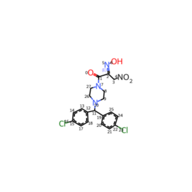 O=C(/C(C[N+](=O)[O-])=N/O)N1CCN(C(c2ccc(Cl)cc2)c2ccc(Cl)cc2)CC1